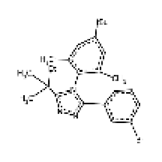 CCC(C)(C)c1nnc(-c2cccc(Br)c2)n1-c1c(C)cc(C(C)(C)C)cc1C